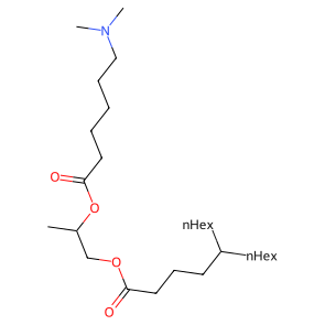 CCCCCCC(CCCCCC)CCCC(=O)OCC(C)OC(=O)CCCCCN(C)C